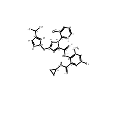 Cc1cc(I)cc(C(=O)NC2CC2)c1NC(=O)c1cc(Cn2nnc(C(F)F)n2)nn1-c1ncccc1Cl